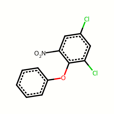 O=[N+]([O-])c1cc(Cl)cc(Cl)c1Oc1ccccc1